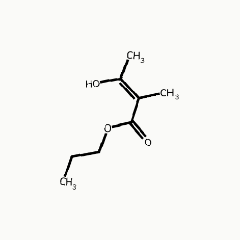 CCCOC(=O)C(C)=C(C)O